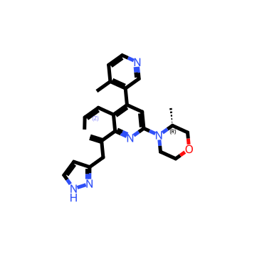 C=C(Cc1cc[nH]n1)c1nc(N2CCOC[C@H]2C)cc(-c2cnccc2C)c1/C=C\C